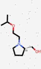 CC(C)OCCN1CCC[C@H]1CO